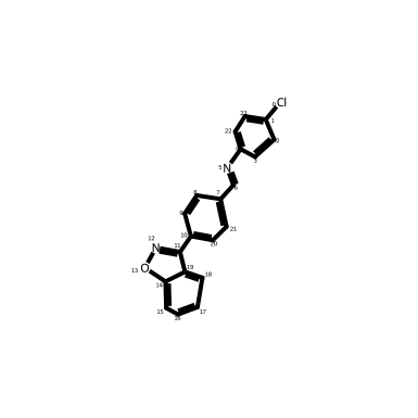 Clc1ccc(/N=C/c2ccc(-c3noc4ccccc34)cc2)cc1